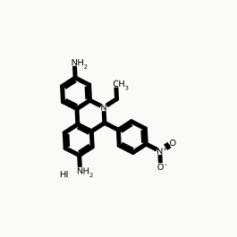 CCN1c2cc(N)ccc2-c2ccc(N)cc2C1c1ccc([N+](=O)[O-])cc1.I